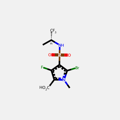 C[C@@H](NS(=O)(=O)c1c(F)c(C(=O)O)n(C)c1Br)C(F)(F)F